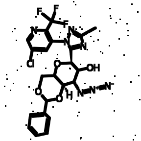 Cc1nc([C@@H]2OC3COC(c4ccccc4)O[C@@H]3C(N=[N+]=[N-])C2O)n(-c2cc(Cl)cnc2C(F)(F)F)n1